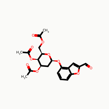 CC(=O)OC[C@H]1O[C@@H](Oc2cccc3oc(C=O)cc23)C[C@@H](OC(C)=O)[C@H]1OC(C)=O